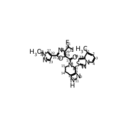 CC1=CC=CN2N=S([C@H]3c4nc[nH]c4CCN3C(=O)c3oc(-c4cnn(C)c4)nc3C(F)I)C=C12